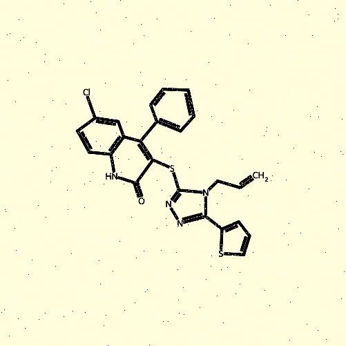 C=CCn1c(Sc2c(-c3ccccc3)c3cc(Cl)ccc3[nH]c2=O)nnc1-c1cccs1